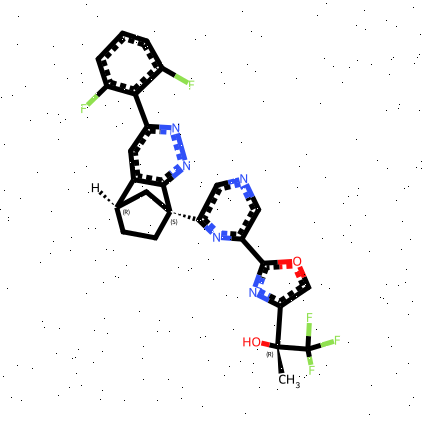 C[C@@](O)(c1coc(-c2cncc([C@]34CC[C@H](C3)c3cc(-c5c(F)cccc5F)nnc34)n2)n1)C(F)(F)F